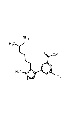 COC(=O)c1cc(C)nc(-c2cnn(C)c2CCCC[C@@H](C)CN)c1